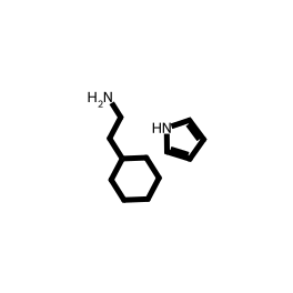 NCCC1CCCCC1.c1cc[nH]c1